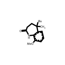 CCC(C)C1(C)CCC(=O)Nc2c(OC)cccc21